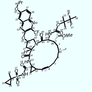 COC[C@@H]1C[C@H](C)CC/C=C\C2C[C@@]2(C(=O)NS(=O)(=O)C2(C)CC2)NC(=O)[C@@H]2C[C@@H](Oc3nc4cc(OC(C)C)ccc4nc3C(F)(F)F)CN2C(=O)[C@H]1NC(=O)OC(C)(C)C(C)(F)F